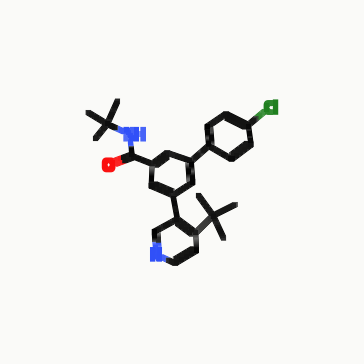 CC(C)(C)NC(=O)c1cc(-c2ccc(Cl)cc2)cc(-c2cnccc2C(C)(C)C)c1